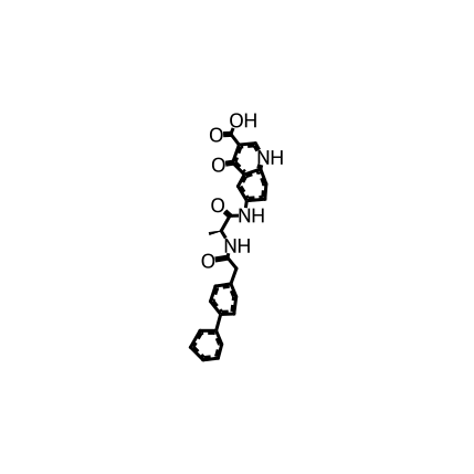 C[C@H](NC(=O)Cc1ccc(-c2ccccc2)cc1)C(=O)Nc1ccc2[nH]cc(C(=O)O)c(=O)c2c1